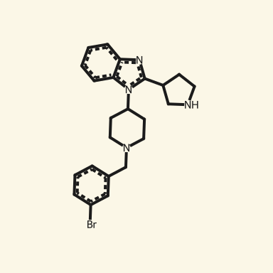 Brc1cccc(CN2CCC(n3c(C4CCNC4)nc4ccccc43)CC2)c1